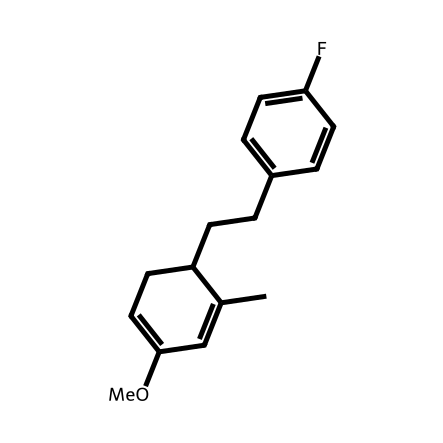 COC1=CCC(CCc2ccc(F)cc2)C(C)=C1